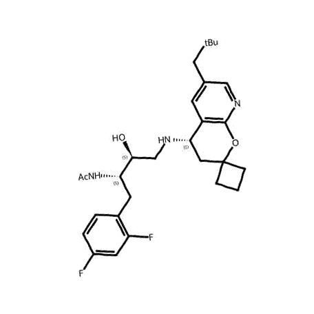 CC(=O)N[C@@H](Cc1ccc(F)cc1F)[C@@H](O)CN[C@H]1CC2(CCC2)Oc2ncc(CC(C)(C)C)cc21